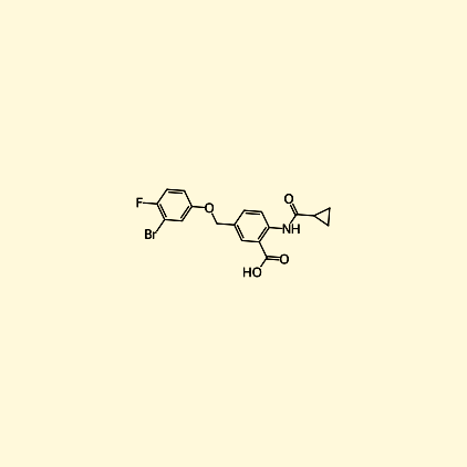 O=C(O)c1cc(COc2ccc(F)c(Br)c2)ccc1NC(=O)C1CC1